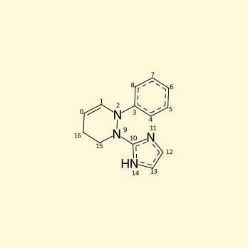 C1=CN(c2ccccc2)N(c2ncc[nH]2)CC1